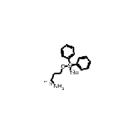 C[C@@H](N)CCO[Si](c1ccccc1)(c1ccccc1)C(C)(C)C